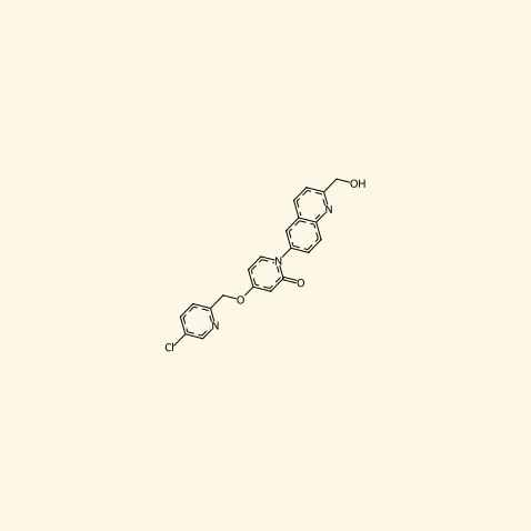 O=c1cc(OCc2ccc(Cl)cn2)ccn1-c1ccc2nc(CO)ccc2c1